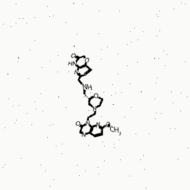 COc1ccc2ncc(=O)n(CCN3CCO[C@@H](CNCc4ccc5c(n4)NC(=O)CO5)C3)c2n1